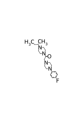 CCC(C)N1CCN(C(=O)CN2CCN(c3ccc(F)cc3)CC2)CC1